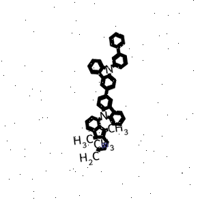 C=C/C=C\C1=C(C)C2C(=CC=CC2n2c3ccccc3c3cc(-c4ccc5c(c4)c4ccccc4n5-c4cccc(-c5ccccc5)c4)ccc32)C1(C)C